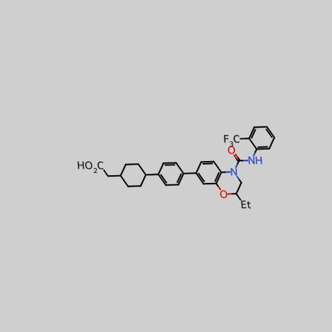 CCC1CN(C(=O)Nc2ccccc2C(F)(F)F)c2ccc(-c3ccc(C4CCC(CC(=O)O)CC4)cc3)cc2O1